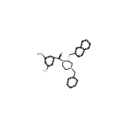 COc1cc(C(=O)N2CCN(Cc3ccccc3)C[C@H]2Cc2ccc3ccccc3c2)cc(C(F)(F)F)c1